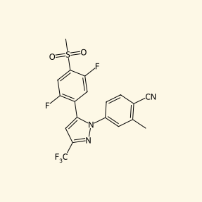 Cc1cc(-n2nc(C(F)(F)F)cc2-c2cc(F)c(S(C)(=O)=O)cc2F)ccc1C#N